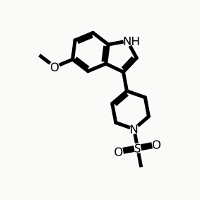 COc1ccc2[nH]cc(C3=CCN(S(C)(=O)=O)CC3)c2c1